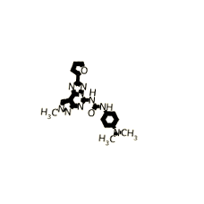 CN(C)c1ccc(NC(=O)Nc2nc3nn(C)cc3c3nc(-c4ccco4)nn23)cc1